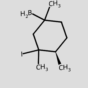 BC1(C)CC[C@@H](C)C(C)(I)C1